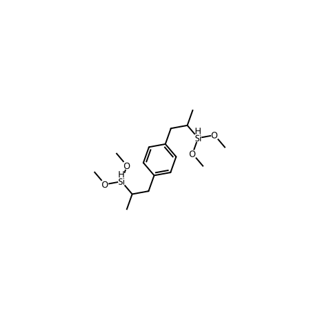 CO[SiH](OC)C(C)Cc1ccc(CC(C)[SiH](OC)OC)cc1